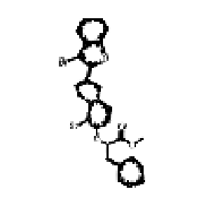 COC(=O)C(Cc1ccccc1)Oc1ccc2cc(-c3oc4ccccc4c3Br)ccc2c1Br